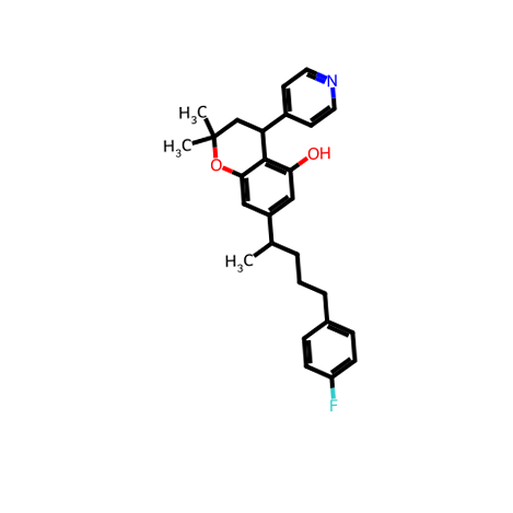 CC(CCCc1ccc(F)cc1)c1cc(O)c2c(c1)OC(C)(C)CC2c1ccncc1